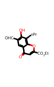 CCCc1c(O)c(C=O)cc2c(=O)cc(C(=O)OCC)oc12